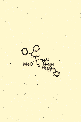 COCC1(C(=O)OC(c2ccccc2)c2ccccc2)CS[C@H]2N(C1)C(=O)C2(NC(=O)Cc1cccs1)OC